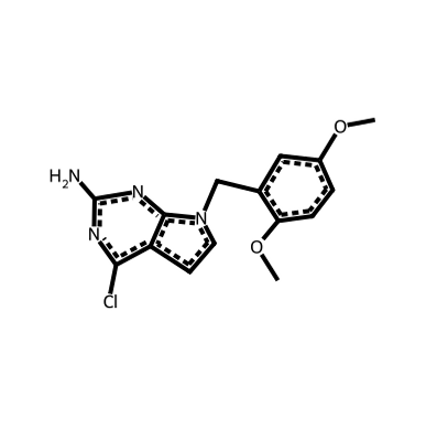 COc1ccc(OC)c(Cn2ccc3c(Cl)nc(N)nc32)c1